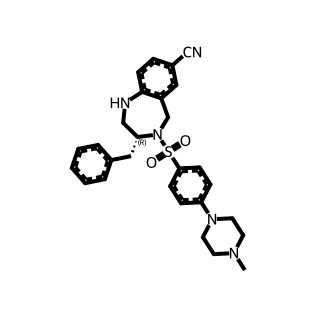 CN1CCN(c2ccc(S(=O)(=O)N3Cc4cc(C#N)ccc4NC[C@H]3Cc3ccccc3)cc2)CC1